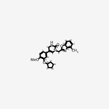 COc1ccc(C2=CN(Cc3nc4c(C)cccc4o3)C(=O)NC2)cc1OC1CCCC1